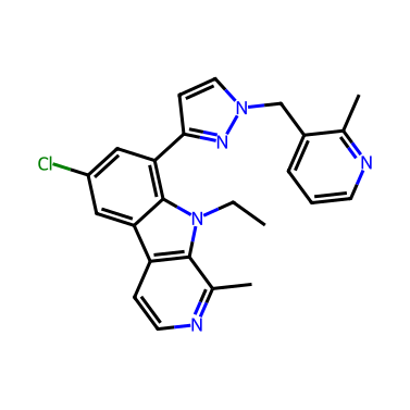 CCn1c2c(-c3ccn(Cc4cccnc4C)n3)cc(Cl)cc2c2ccnc(C)c21